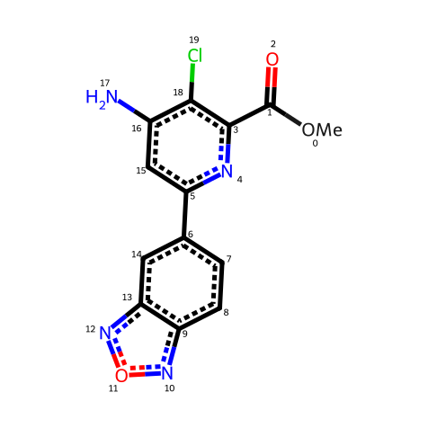 COC(=O)c1nc(-c2ccc3nonc3c2)cc(N)c1Cl